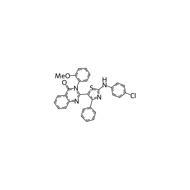 COc1ccccc1-n1c(-c2sc(Nc3ccc(Cl)cc3)nc2-c2ccccc2)nc2ccccc2c1=O